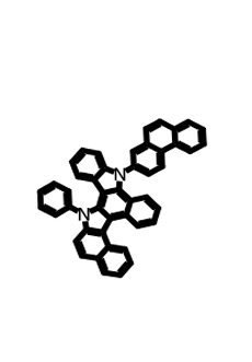 c1ccc(-n2c3ccc4ccccc4c3c3c4ccccc4c4c(c5ccccc5n4-c4ccc5c(ccc6ccccc65)c4)c32)cc1